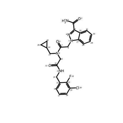 NC(=O)c1nn(CC(=O)N(CC(=O)NCc2cccc(Cl)c2F)CC2CC2)c2ccccc12